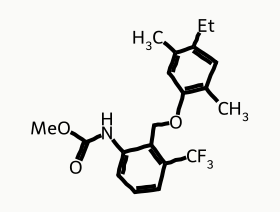 CCc1cc(C)c(OCc2c(NC(=O)OC)cccc2C(F)(F)F)cc1C